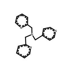 c1ccc(CN(Cc2ccncc2)Cc2ccccn2)nc1